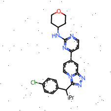 CC(C)C(c1ccc(Cl)cc1)c1nnc2cc(-c3ccnc(NC4CCOCC4)n3)ccn12